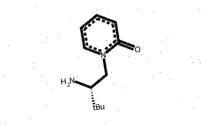 CC(C)(C)[C@H](N)Cn1ccccc1=O